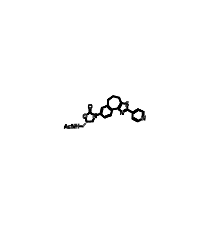 CC(=O)NC[C@H]1CN(c2ccc3c(c2)CCCc2sc(-c4ccncc4)nc2-3)C(=O)O1